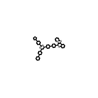 C1=CC(c2ccc(-c3nc(-c4ccc(-c5ccccc5)cc4)cc(-c4ccc(-c5ccc(-c6nc7ccccc7c7nc8ccccn8c67)cc5)cc4)n3)cc2)=CC1